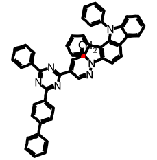 C=C/C=C(\C=N/n1c2ccccc2c2c1ccc1c3ccccc3n(-c3ccccc3)c12)c1nc(-c2ccccc2)nc(-c2ccc(-c3ccccc3)cc2)n1